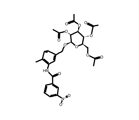 CC(=O)OC[C@H]1O[C@@H](OCc2ccc(C)c(NC(=O)c3cccc([N+](=O)[O-])c3)c2)[C@H](OC(C)=O)[C@@H](OC(C)=O)[C@@H]1OC(C)=O